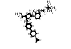 C[C@@H]1[C@H](NC(=O)OC(C)(C)C)CCCN1c1cnc(C(N)=O)c(Nc2ccc(C3CCN(C4CC4)CC3)cc2)n1